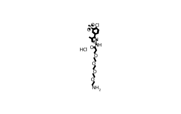 Cc1cn(NC(=O)CCOCCOCCOCCOCCN)nc1-c1ccc(Cl)c(S(C)(=O)=O)c1.Cl